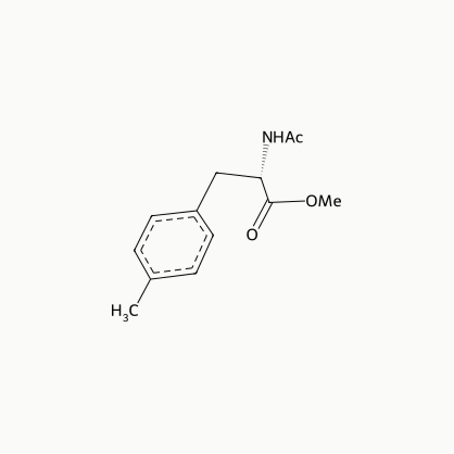 COC(=O)[C@H](Cc1ccc(C)cc1)NC(C)=O